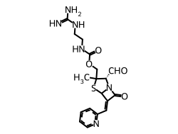 CC1(COC(=O)NCCNC(=N)N)SC2/C(=C\c3ccccn3)C(=O)N2[C@H]1C=O